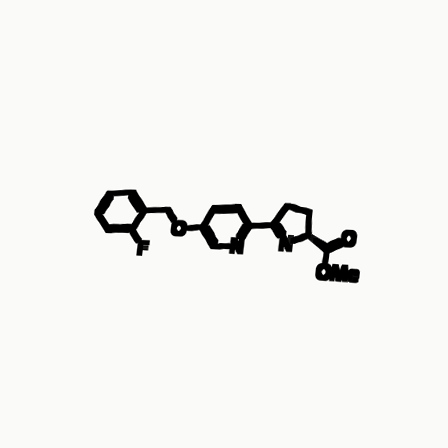 COC(=O)[C@@H]1CCC(c2ccc(OCc3ccccc3F)cn2)=N1